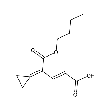 CCCCOC(=O)C(C=CC(=O)O)=C1CC1